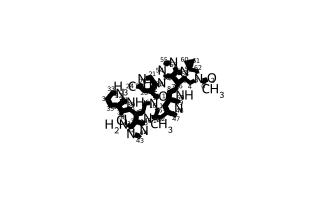 CC(=O)N1Cc2c(-c3cc4cc(CC5(C)CN(C(=O)c6ccnc(C)c6)Cc6c(-c7[nH]c8ncccc8c7Cl)c7c(N)ncnc7n65)cnc4[nH]3)c3c(N)ncnc3n2C2(CC2)C1